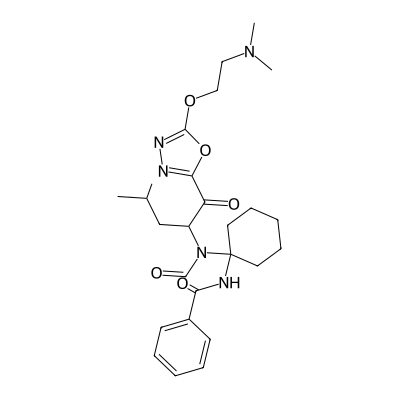 CC(C)CC(C(=O)c1nnc(OCCN(C)C)o1)N(C=O)C1(NC(=O)c2ccccc2)CCCCC1